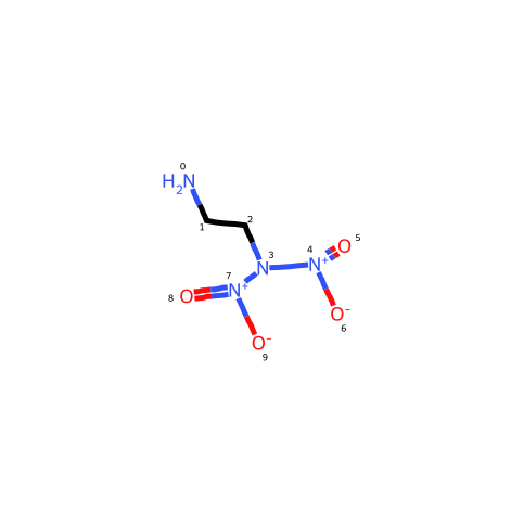 NCCN([N+](=O)[O-])[N+](=O)[O-]